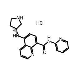 Cl.O=C(Nc1ccccn1)c1ccc(N[C@H]2CCNC2)c2cccnc12